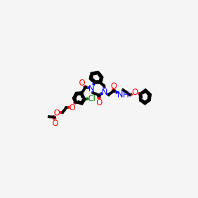 CC(=O)OCCOc1ccc(C(=O)N2CC(=O)N(CC(=O)NCCOc3ccccc3)Cc3ccccc32)c(Cl)c1